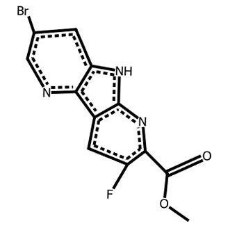 COC(=O)c1nc2[nH]c3cc(Br)cnc3c2cc1F